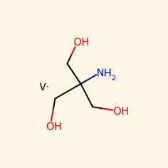 NC(CO)(CO)CO.[V]